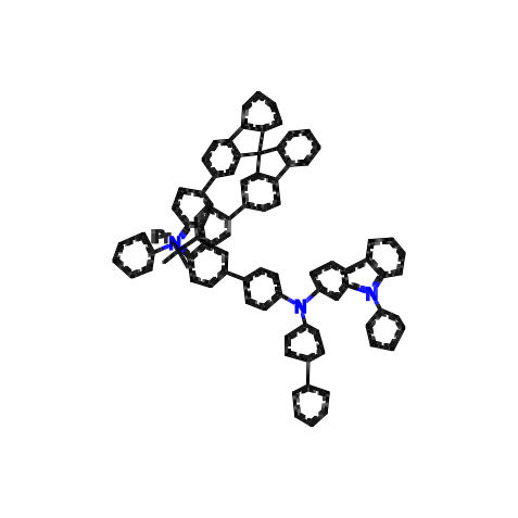 CC(C)C(C)(C)c1ccc(-c2ccc3c(c2)C2(c4ccccc4-3)c3ccccc3-c3ccc(-c4ccc5c(c4)c4cc(-c6ccc(N(c7ccc(-c8ccccc8)cc7)c7ccc8c9ccccc9n(-c9ccccc9)c8c7)cc6)ccc4n5-c4ccccc4)cc32)cc1